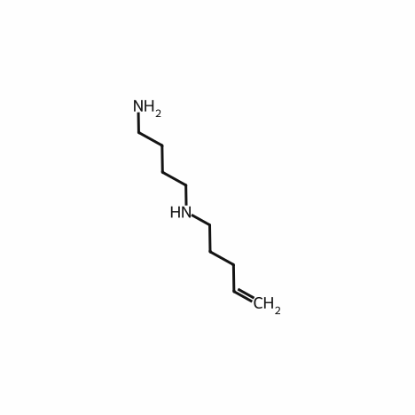 C=CCCCNCCCCN